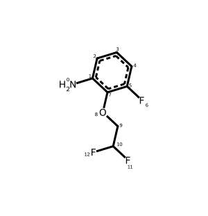 Nc1cccc(F)c1OCC(F)F